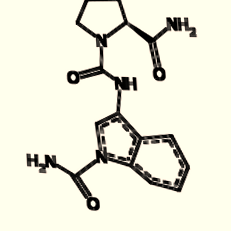 NC(=O)[C@@H]1CCCN1C(=O)Nc1cn(C(N)=O)c2ccccc12